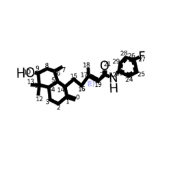 C=C1CCC2C(C(C)CC(O)C2(C)C)C1CC/C(C)=C/C(=O)Nc1ccc(F)cc1